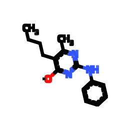 CCCCc1c(C)nc(Nc2ccccc2)nc1[O]